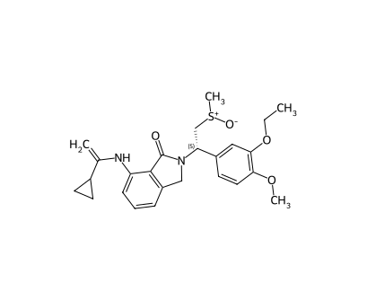 C=C(Nc1cccc2c1C(=O)N([C@H](C[S+](C)[O-])c1ccc(OC)c(OCC)c1)C2)C1CC1